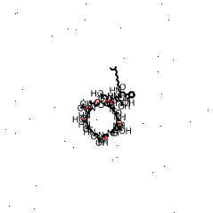 CCC(C)CCCCCCC(=O)NC(Cc1c[nH]c2ccccc12)C(=O)NC(CCC(=O)O)C(=O)NC(CC(=O)O)C(=O)NC1C(=O)N(C)CC(=O)NC(C)C(=O)NC(CC(=O)O)C(=O)NC(C)C(=O)NC(CC(=O)O)C(=O)NCC(=O)NC(CO)C(=O)NC(CCC(=O)O)C(=O)NC(C(C)CC)C(=O)OC1C